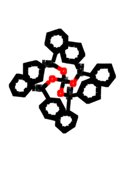 c1ccc([SiH](O[Si](O[SiH](c2ccccc2)c2ccccc2)(O[SiH](c2ccccc2)c2ccccc2)O[SiH](c2ccccc2)c2ccccc2)c2ccccc2)cc1